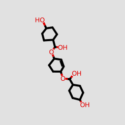 OC1CCC(C(O)OC2C=CC(OC(O)C3CCC(O)CC3)CC2)CC1